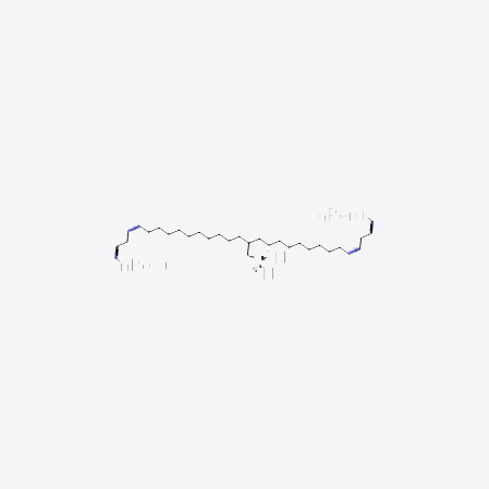 CCCCC/C=C\C/C=C\CCCCCCCCCCC(CCCCCCCCC/C=C\C/C=C\CCCCC)CN(C)C